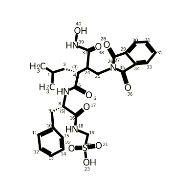 CC(C)C[C@@H](C(=O)N[C@@H](Cc1ccccc1)C(=O)NCS(=O)(=O)O)C(CN1C(=O)c2ccccc2C1=O)C(=O)NO